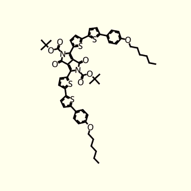 CCCCCCOc1ccc(-c2ccc(-c3ccc(C4=C5C(=O)N(C(=O)OC(C)(C)C)C(c6ccc(-c7ccc(-c8ccc(OCCCCCC)cc8)s7)s6)=C5C(=O)N4C(=O)OC(C)(C)C)s3)s2)cc1